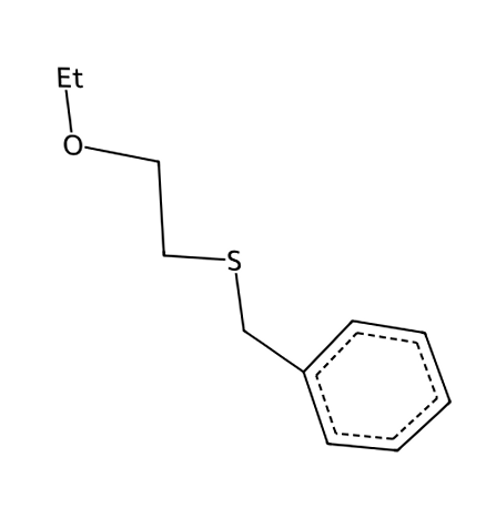 CCOCCSCc1ccccc1